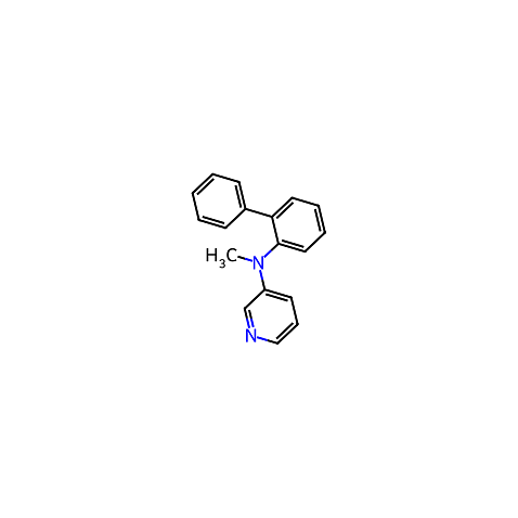 CN(c1cccnc1)c1ccccc1-c1ccccc1